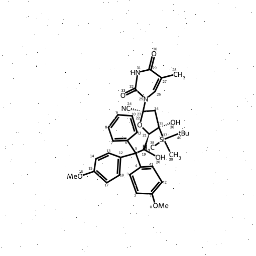 COc1ccc(C(c2ccccc2)(c2ccc(OC)cc2)C(O)[C@H]2O[C@@](C#N)(n3cc(C)c(=O)[nH]c3=O)C[C@@]2(O)[Si](C)(C)C(C)(C)C)cc1